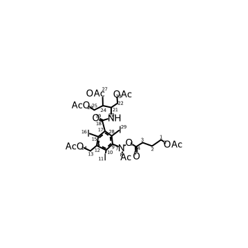 CC(=O)OCCCC(=O)ON(C(C)=O)c1c(I)c(COC(C)=O)c(I)c(C(=O)NC(COC(C)=O)C(COC(C)=O)OC(C)=O)c1I